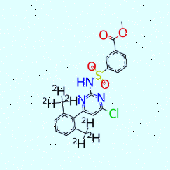 [2H]C([2H])([2H])c1cccc(C([2H])([2H])[2H])c1-c1cc(Cl)nc(NS(=O)(=O)c2cccc(C(=O)OC)c2)n1